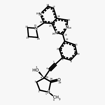 CN1CC[C@](O)(C#Cc2cccc(-c3ncc4ccnc(N5CCC5)c4n3)c2)C1=O